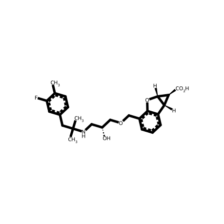 Cc1ccc(CC(C)(C)NC[C@@H](O)COCc2cccc3c2O[C@@H]2[C@@H](C(=O)O)[C@H]32)cc1F